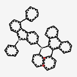 c1ccc(-c2c(N(c3ccccc3)c3ccc4c5c(-c6ccccc6)cccc5n(-c5ccccc5)c4c3)c3ccccc3c3ccccc23)cc1